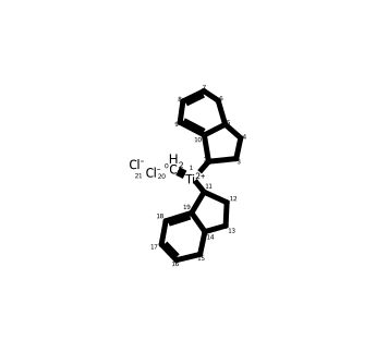 [CH2]=[Ti+2]([CH]1CCC2CC=CC=C21)[CH]1CCC2CC=CC=C21.[Cl-].[Cl-]